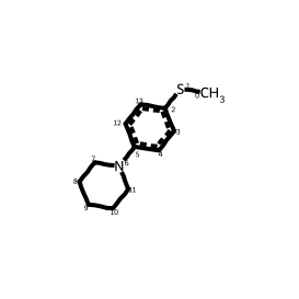 CSc1ccc(N2CCCCC2)cc1